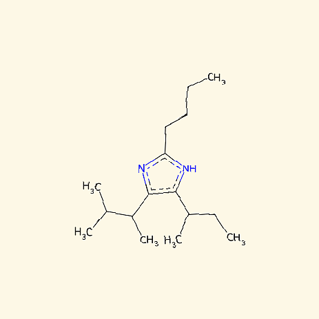 CCCCc1nc(C(C)C(C)C)c(C(C)CC)[nH]1